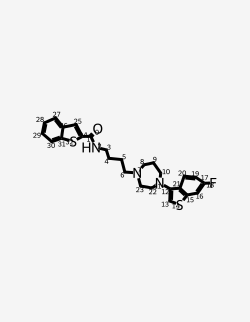 O=C(NCCCCN1CCCN(c2csc3cc(F)ccc23)CC1)c1cc2ccccc2s1